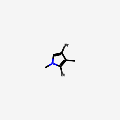 CCc1c(C)c(C(C)C)cn1C